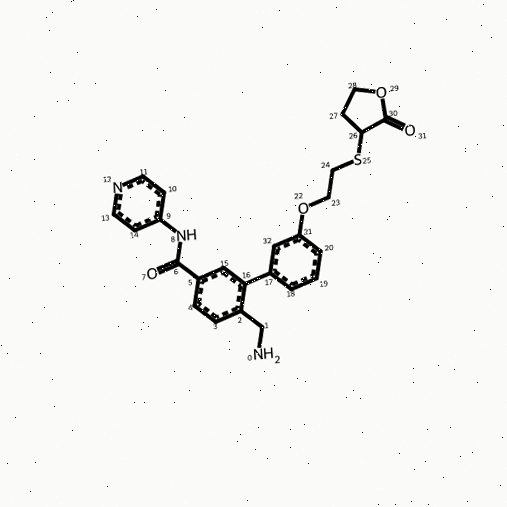 NCc1ccc(C(=O)Nc2ccncc2)cc1-c1cccc(OCCSC2CCOC2=O)c1